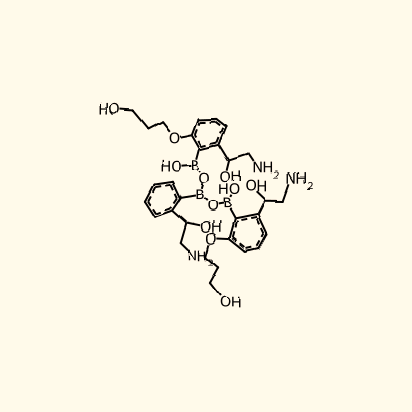 NCC(O)c1ccccc1B(OB(O)c1c(OCCCO)cccc1C(O)CN)OB(O)c1c(OCCCO)cccc1C(O)CN